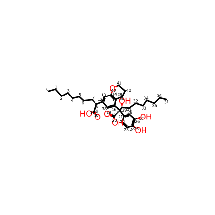 CCCCCCCC[C@H](C(=O)O)c1cc2c(c([C@@](C(=O)O)(c3ccc(O)c(O)c3)[C@@H](O)CCCCCCC)c1)CCCO2